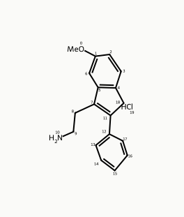 COc1ccc2c(c1)C(CCN)=C(c1ccccc1)C2.Cl